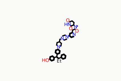 CC/C(=C(\c1ccc(O)cc1)c1ccc(N2CCC(CN3CCN(c4ccnc(CC(=O)N(C)C5CCC(=O)NC5=O)c4)CC3)CC2)cc1)c1ccccc1